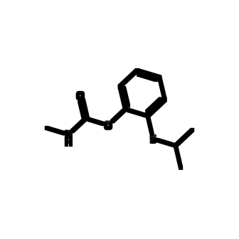 CNC(=O)Oc1ccccc1SC(C)C